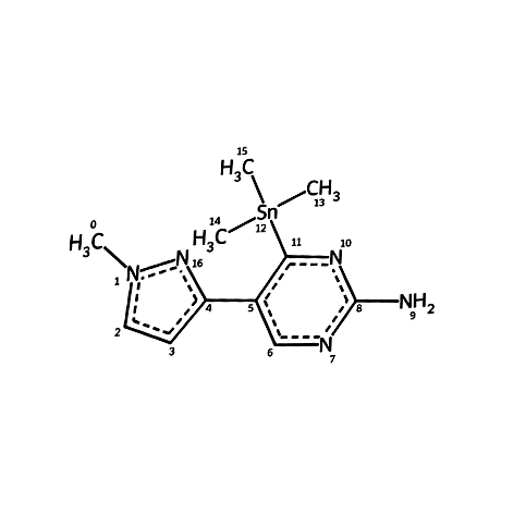 Cn1ccc(-c2cnc(N)n[c]2[Sn]([CH3])([CH3])[CH3])n1